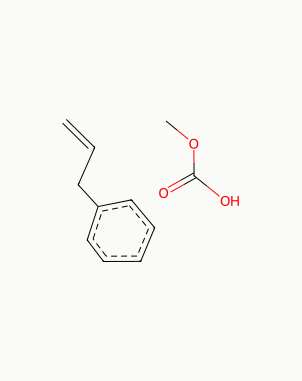 C=CCc1ccccc1.COC(=O)O